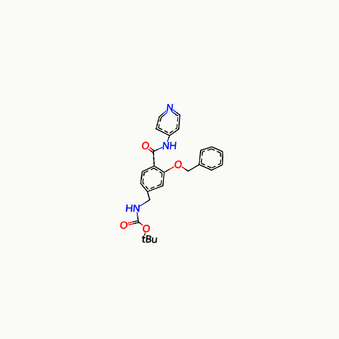 CC(C)(C)OC(=O)NCc1ccc(C(=O)Nc2ccncc2)c(OCc2ccccc2)c1